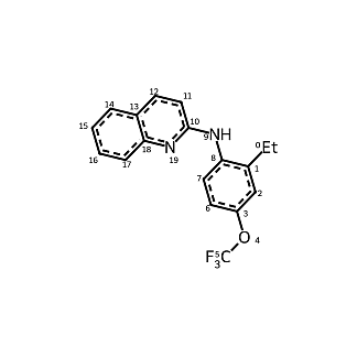 CCc1cc(OC(F)(F)F)ccc1Nc1ccc2ccccc2n1